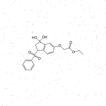 CCOC(=O)COc1ccc2c(c1)S(O)(O)CC2S(=O)(=O)c1ccccc1